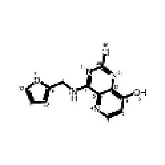 Oc1ccnc2c(NCc3ccco3)nc(Cl)nc12